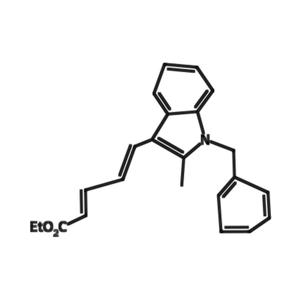 CCOC(=O)C=CC=Cc1c(C)n(Cc2ccccc2)c2ccccc12